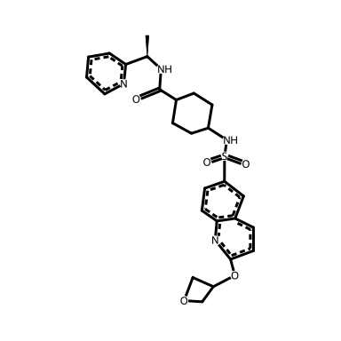 C[C@@H](NC(=O)C1CCC(NS(=O)(=O)c2ccc3nc(OC4COC4)ccc3c2)CC1)c1ccccn1